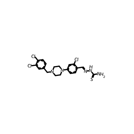 NC(=S)NN=Cc1ccc(N2CCN(Cc3ccc(Cl)c(Cl)c3)CC2)cc1Cl